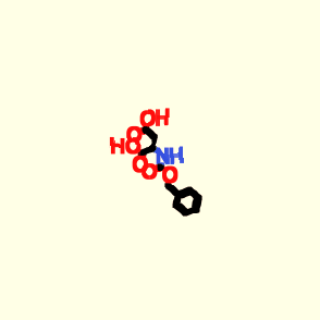 O=C(O)C[C@@H](NC(=O)OCc1ccccc1)C(=O)O